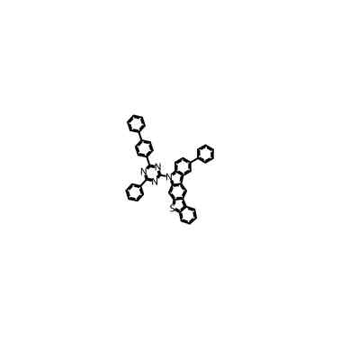 c1ccc(-c2ccc(-c3nc(-c4ccccc4)nc(-n4c5ccc(-c6ccccc6)cc5c5cc6c(cc54)sc4ccccc46)n3)cc2)cc1